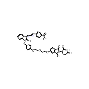 O=C1CCC(N2C(=O)c3ccc(OCCOCCOc4ccc(CN5C(=O)/C(=C\C=C\c6ccc([N+](=O)[O-])cc6)c6ccccc65)cc4)cc3C2=O)C(=O)N1